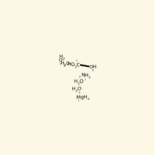 N.O.O.O.O.O=C(O)O.[MgH2]